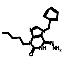 CCCCCn1c(=O)[nH]/c(=N\N)c2c1ncn2Cc1ccccc1